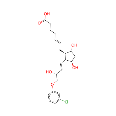 O=C(O)CCCC=CC[C@@H]1C(C=C[C@@H](O)COc2cccc(Cl)c2)[C@H](O)C[C@H]1O